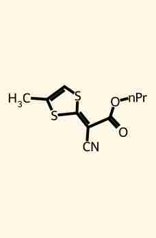 CCCOC(=O)C(C#N)=C1SC=C(C)S1